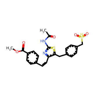 COC(=O)c1ccc(/C=C\c2nc(NC(C)=O)sc2Cc2ccc(C[SH](=O)=O)cc2)cc1